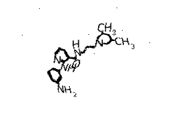 CC1CC(C)CN(CCCNC(=O)c2cccnc2Nc2cccc(N)c2)C1